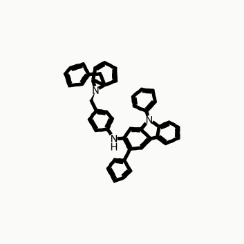 C1=CC2[N@](Cc3ccc(Nc4cc5c(cc4-c4ccccc4)c4ccccc4n5-c4ccccc4)cc3)C2(Cc2ccccc2)C=C1